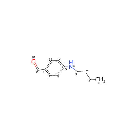 CCCCNc1ccc([C]=O)cc1